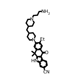 CCc1cc2c(cc1N1CCC(CC3CCN(CCCN)CC3)CC1)C(C)(C)c1[nH]c3cc(C#N)ccc3c1C2=O